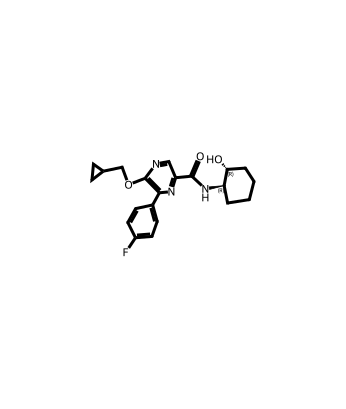 O=C(N[C@@H]1CCCC[C@H]1O)c1cnc(OCC2CC2)c(-c2ccc(F)cc2)n1